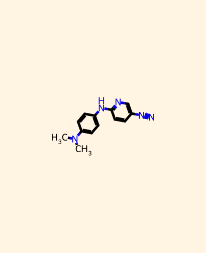 CN(C)c1ccc(Nc2ccc([N+]#N)cn2)cc1